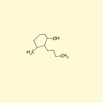 CCCCC1C(C)CCCC1O